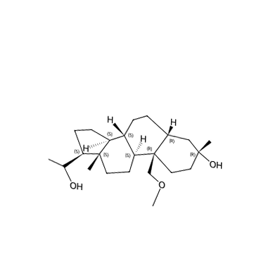 COC[C@]12CC[C@@](C)(O)C[C@H]1CC[C@H]1[C@@H]3CC[C@H](C(C)O)[C@@]3(C)CC[C@@H]12